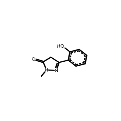 CN1N=C(c2ccccc2O)CC1=O